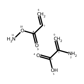 C=C(N)C(=O)O.C=CC(=O)ON